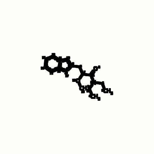 CCN(CC)C(=O)C(Cc1cc2ccccc2s1)OC